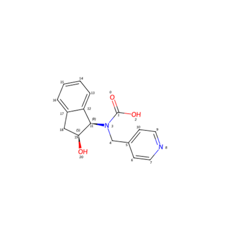 O=C(O)N(Cc1ccncc1)[C@@H]1c2ccccc2C[C@@H]1O